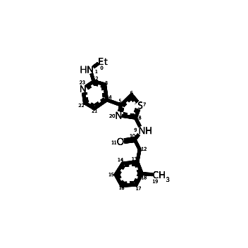 CCNc1cc(-c2csc(NC(=O)Cc3ccccc3C)n2)ccn1